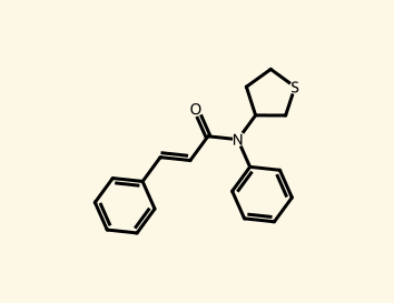 O=C(/C=C/c1ccccc1)N(c1ccccc1)C1CCSC1